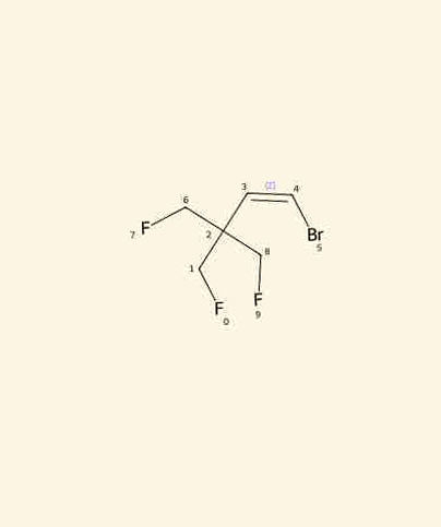 FCC(/C=C\Br)(CF)CF